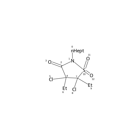 CCCCCCCN1C(=O)C(Cl)(CC)C(Cl)(CC)S1(=O)=O